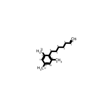 [CH]=CCCCCCc1c(C)cc(C)cc1C